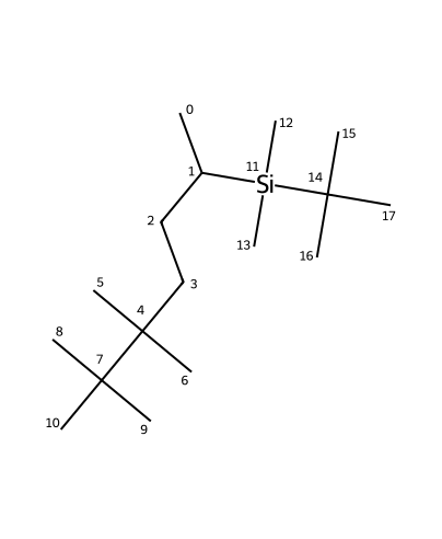 CC(CCC(C)(C)C(C)(C)C)[Si](C)(C)C(C)(C)C